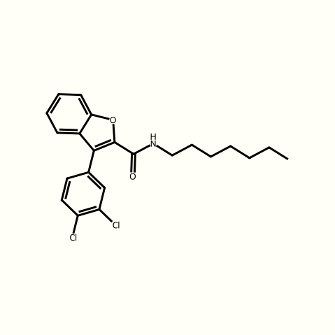 CCCCCCCNC(=O)c1oc2ccccc2c1-c1ccc(Cl)c(Cl)c1